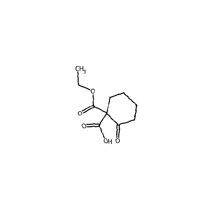 CCOC(=O)C1(C(=O)O)CCCCC1=O